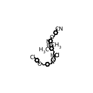 Cc1cc(C=CC(=O)N2CCN(Cc3ccc(CCOc4ccc(Cl)cc4)cc3)CC2)cc(C)c1Oc1ccc(OCc2ccc(C#N)cc2)cn1.Cl